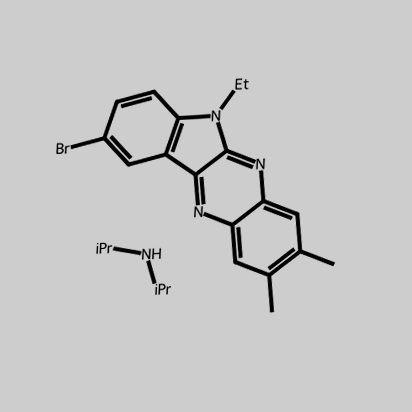 CC(C)NC(C)C.CCn1c2ccc(Br)cc2c2nc3cc(C)c(C)cc3nc21